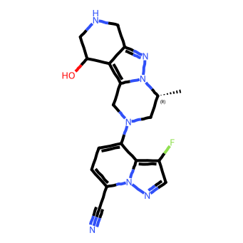 C[C@@H]1CN(c2ccc(C#N)n3ncc(F)c23)Cc2c3c(nn21)CNCC3O